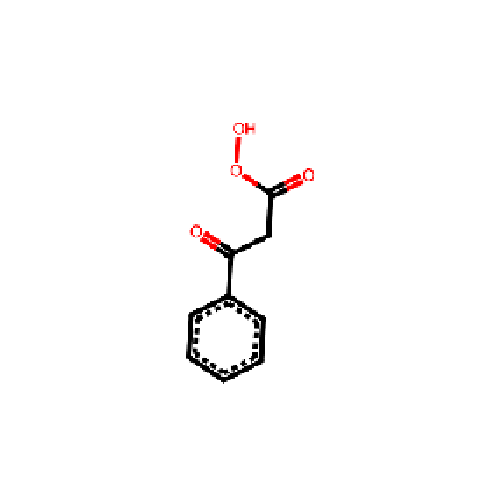 O=C(CC(=O)c1ccccc1)OO